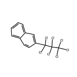 ClC(Cl)(Cl)C(Cl)(Cl)C(Cl)(Cl)c1[c]c2ccccc2cc1